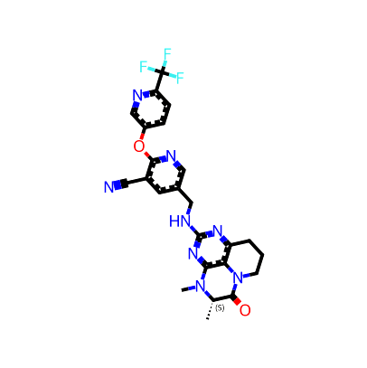 C[C@H]1C(=O)N2CCCc3nc(NCc4cnc(Oc5ccc(C(F)(F)F)nc5)c(C#N)c4)nc(c32)N1C